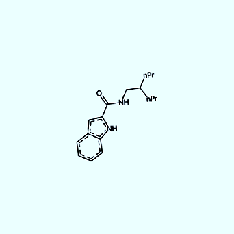 CCCC(CCC)CNC(=O)c1cc2ccccc2[nH]1